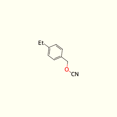 CCc1ccc(COC#N)cc1